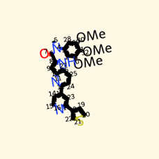 COc1cc(N(C)C(=O)c2cc3nc(-c4ccnc(-c5ccsc5)c4)ccc3[nH]2)cc(OC)c1OC